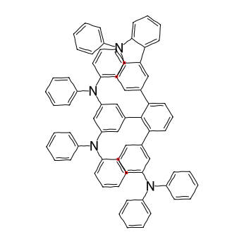 c1ccc(N(c2ccccc2)c2cccc(-c3cccc(-c4ccc5c(c4)c4ccccc4n5-c4ccccc4)c3-c3cc(N(c4ccccc4)c4ccccc4)cc(N(c4ccccc4)c4ccccc4)c3)c2)cc1